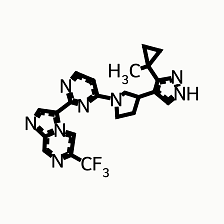 CC1(c2n[nH]cc2C2CCN(c3ccnc(-c4cnc5cnc(C(F)(F)F)cn45)n3)C2)CC1